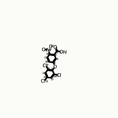 O=C(O)c1cc(Oc2c(Cl)cc(Cl)cc2Cl)ccc1[N+](=O)[O-]